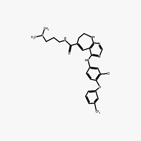 CN(C)CCCNC(=O)C1=Cc2c(ncnc2Nc2ccc(Oc3cccc(C(F)(F)F)c3)c(Cl)c2)NCC1